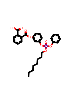 CCCCCCCCOP(=O)(Oc1ccccc1)Oc1ccccc1.O=C(O)c1ccccc1C(=O)O